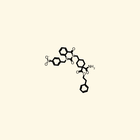 NC(=O)C1(C(=O)OCCc2ccccc2)CCC(Cn2c(=O)c3ccccc3n(Cc3ccc([N+](=O)[O-])cc3)c2=O)CC1